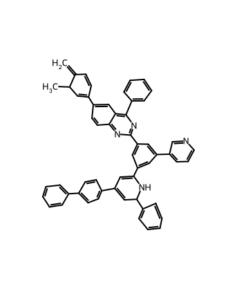 C=C1C=CC(c2ccc3nc(-c4cc(C5=CC(c6ccc(-c7ccccc7)cc6)=CC(c6ccccc6)N5)cc(-c5cccnc5)c4)nc(-c4ccccc4)c3c2)=CC1C